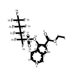 CCOC(=O)c1sc2cnccc2c1OS(=O)(=O)C(F)(F)C(F)(F)C(F)(F)C(F)(F)F